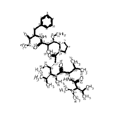 COC(=O)C(Cc1ccccc1)NC(=O)[C@H](C)[C@@H](OC)[C@@H]1CCCN1C(=O)C[C@@H](OC)[C@H](C(C)C)N(C)C(=O)[C@@H](NC(=O)C(C(C)C)N(C)C)C(C)C